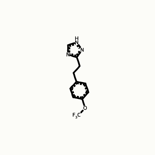 FC(F)(F)Oc1ccc(CCc2nc[nH]n2)cc1